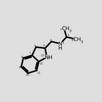 CC(C)NCC1Cc2ccccc2N1